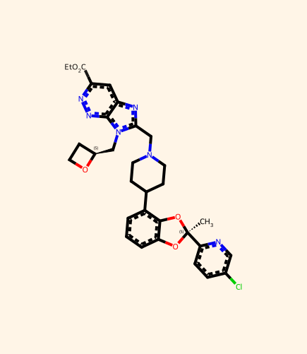 CCOC(=O)c1cc2nc(CN3CCC(c4cccc5c4O[C@@](C)(c4ccc(Cl)cn4)O5)CC3)n(C[C@@H]3CCO3)c2nn1